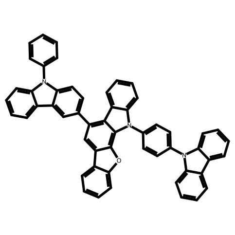 c1ccc(-n2c3ccccc3c3cc(-c4cc5c6ccccc6oc5c5c4c4ccccc4n5-c4ccc(-n5c6ccccc6c6ccccc65)cc4)ccc32)cc1